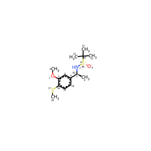 COc1cc([C@H](C)N[S@@+]([O-])C(C)(C)C)ccc1SC